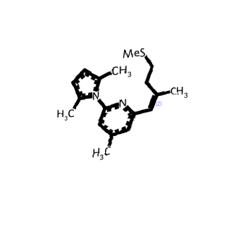 CSCC/C(C)=C\c1cc(C)cc(-n2c(C)ccc2C)n1